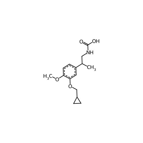 COc1ccc(C(C)CNC(=O)O)cc1OCC1CC1